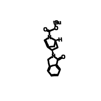 CC(C)(C)OC(=O)N1C=C2C[C@H]1C[C@H]2N1Cc2ccccc2C1=O